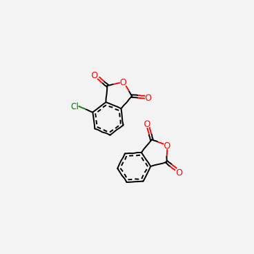 O=C1OC(=O)c2c(Cl)cccc21.O=C1OC(=O)c2ccccc21